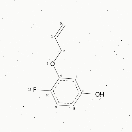 C=CCOc1cc(O)ccc1F